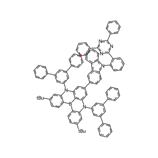 CC(C)(C)c1ccc2c(c1)N(c1cc(-c3ccccc3)cc(-c3ccccc3)c1)c1cc(-c3ccc4c(c3)c3ccccc3n4-c3ccccc3-c3nc(-c4ccccc4)nc(-c4ccccc4)n3)cc3c1B2c1ccc(C(C)(C)C)cc1N3c1cc(-c2ccccc2)cc(-c2ccccc2)c1